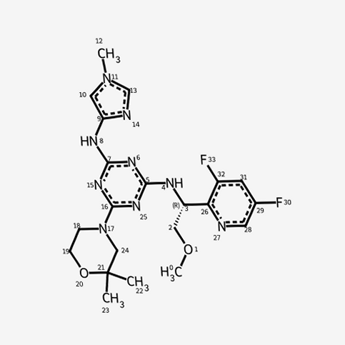 COC[C@H](Nc1nc(Nc2cn(C)cn2)nc(N2CCOC(C)(C)C2)n1)c1ncc(F)cc1F